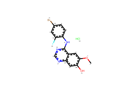 COc1cc2c(Nc3ccc(Br)cc3F)ncnc2cc1O.Cl